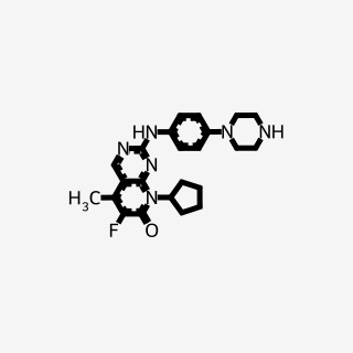 Cc1c(F)c(=O)n(C2CCCC2)c2nc(Nc3ccc(N4CCNCC4)cc3)ncc12